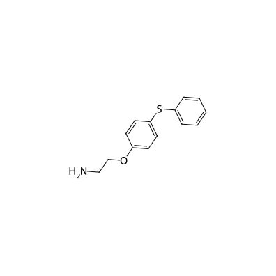 NCCOc1ccc(Sc2ccccc2)cc1